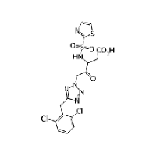 O=C(O)CC(NS(=O)(=O)c1nccs1)C(=O)Cn1nnc(Cc2c(Cl)cccc2Cl)n1